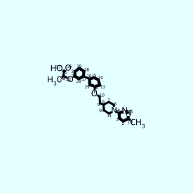 Cc1ccc(N2CCC(CCOc3cccc(-c4cccc(OC(C)C(=O)O)c4)c3)CC2)nn1